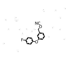 N#COCc1cccc(Oc2ccc(F)cc2)c1